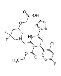 CCOC(=O)C1=C(CN2CC(OCC(=O)O)CC(F)(F)C2)NC(c2nccs2)=N[C@H]1c1ccc(F)cc1Cl